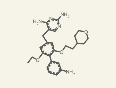 CCOc1cc(Cc2cnc(N)nc2N)cc(OCCC2CCOCC2)c1-c1cccc(N)c1